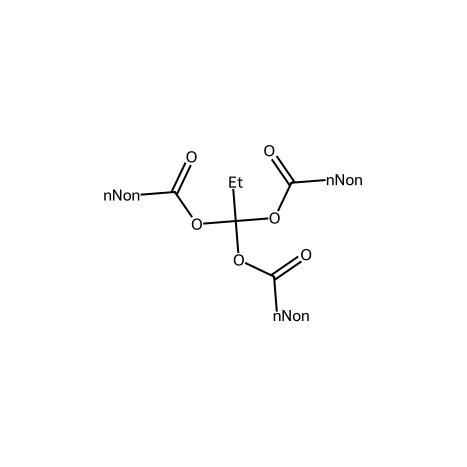 CCCCCCCCCC(=O)OC(CC)(OC(=O)CCCCCCCCC)OC(=O)CCCCCCCCC